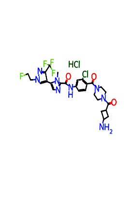 Cl.Cn1c(-c2cn(CCF)nc2C(F)(F)F)cnc1C(=O)Nc1ccc(C(=O)N2CCN(C(=O)C3CC(N)C3)CC2)c(Cl)c1